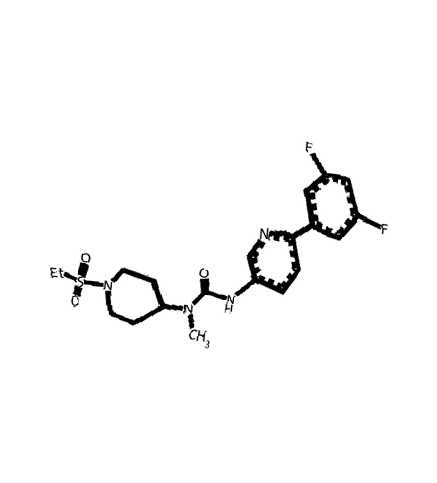 CCS(=O)(=O)N1CCC(N(C)C(=O)Nc2ccc(-c3cc(F)cc(F)c3)nc2)CC1